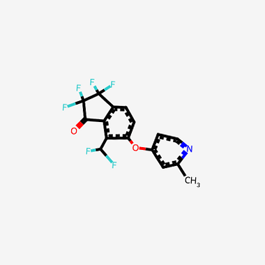 Cc1cc(Oc2ccc3c(c2C(F)F)C(=O)C(F)(F)C3(F)F)ccn1